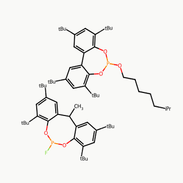 CC(C)CCCCCOp1oc2c(C(C)(C)C)cc(C(C)(C)C)cc2c2cc(C(C)(C)C)cc(C(C)(C)C)c2o1.CC1c2cc(C(C)(C)C)cc(C(C)(C)C)c2OP(F)Oc2c1cc(C(C)(C)C)cc2C(C)(C)C